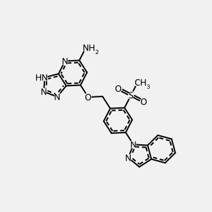 CS(=O)(=O)c1cc(-n2ncc3ccccc32)ccc1COc1cc(N)nc2[nH]nnc12